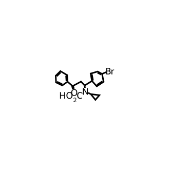 O=C(CC(c1ccc(Br)cc1)N(C(=O)O)C1CC1)c1ccccc1